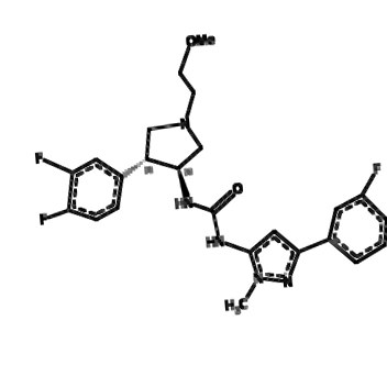 COCCN1C[C@@H](NC(=O)Nc2cc(-c3cccc(F)c3)nn2C)[C@H](c2ccc(F)c(F)c2)C1